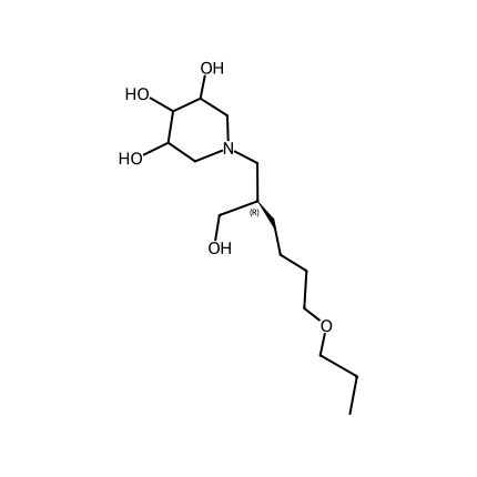 CCCOCCCC[C@@H](CO)CN1CC(O)C(O)C(O)C1